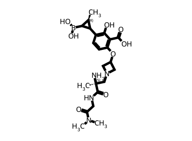 C[C@@H]1C(B(O)O)C1c1ccc(OC2CN(C[C@](C)(N)C(=O)NCC(=O)N(C)C)C2)c(C(=O)O)c1O